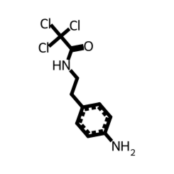 Nc1ccc(CCNC(=O)C(Cl)(Cl)Cl)cc1